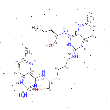 CCC[C@H](CO)Nc1nc(NCCCC[C@H](CO)Nc2nc(N)nc3ccc(C)nc23)nc2ccc(C)nc12